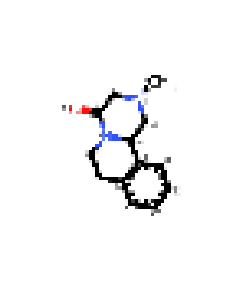 CN1CC(=O)N2CCc3ccccc3C2C1